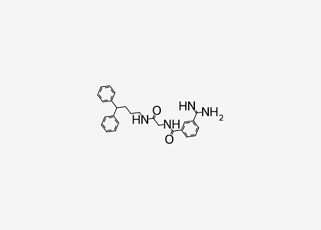 N=C(N)c1cccc(C(=O)NCC(=O)NCCCC(c2ccccc2)c2ccccc2)c1